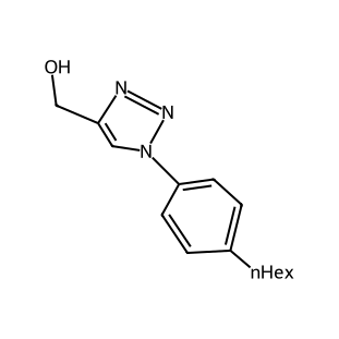 CCCCCCc1ccc(-n2cc(CO)nn2)cc1